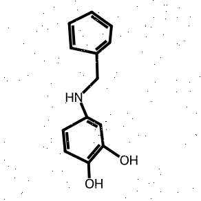 Oc1ccc(NCc2ccccc2)cc1O